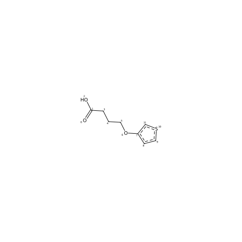 O=C(O)CCCOc1ccsc1